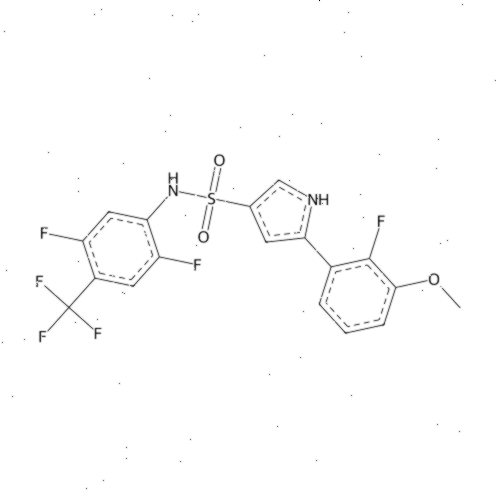 COc1cccc(-c2cc(S(=O)(=O)Nc3cc(F)c(C(F)(F)F)cc3F)c[nH]2)c1F